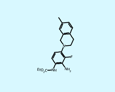 CCOC(=O)Nc1ccc(N2CCc3ccc(C)cc3C2)c(F)c1N